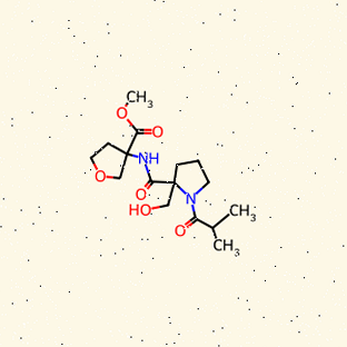 COC(=O)C1(NC(=O)C2(CO)CCCN2C(=O)C(C)C)CCOC1